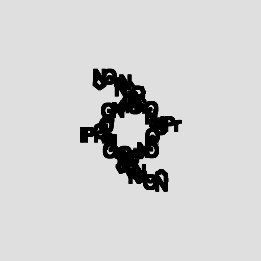 CC(C)C[C@H]1C(=O)O[C@H](Cc2ccc(Cn3cc(Oc4ccccn4)cn3)cc2)C(=O)N(C)[C@@H](CC(C)C)C(=O)O[C@H](C)C(=O)N(C)[C@@H](CC(C)C)C(=O)O[C@H](Cc2ccc(Cn3cc(Oc4ccccn4)cn3)cc2)C(=O)N(C)[C@@H](CC(C)C)C(=O)O[C@H](C)C(=O)N1C